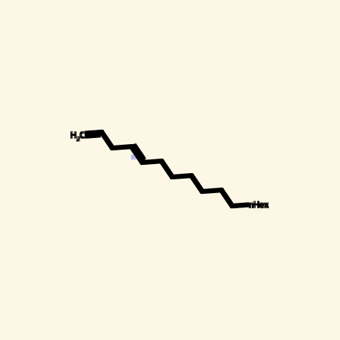 [CH2]CCCCCCCCCCC/C=C/CC=C